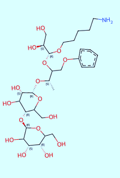 C[C@H](O[C@@H]1OC(CO)[C@H](O[C@H]2OC(CO)[C@H](O)[C@H](O)C2O)C(O)[C@@H]1O)C(COc1ccccc1)O[C@@H](OCCCCCN)[C@@H](O)CO